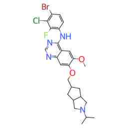 COc1cc2c(Nc3ccc(Br)c(Cl)c3F)ncnc2cc1OCC1CC2CN(C(C)C)CC2C1